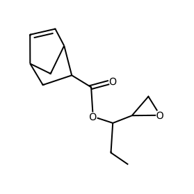 CCC(OC(=O)C1CC2C=CC1C2)C1CO1